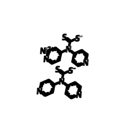 S=C([S-])N(c1ccncc1)c1ccncc1.S=C([S-])N(c1ccncc1)c1ccncc1.[Ni+2]